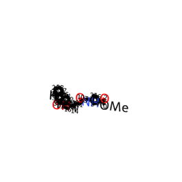 COC(=O)c1ccc(CNC(=O)CC[C@@H](C)[C@H]2CCC3[C@H]4C(CC[C@@]32C)[C@@]2(C)CCCC[C@H]2C[C@@H]4O)cc1